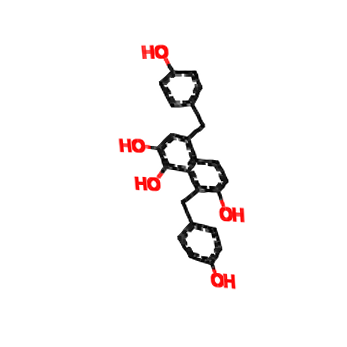 Oc1ccc(Cc2cc(O)c(O)c3c(Cc4ccc(O)cc4)c(O)ccc23)cc1